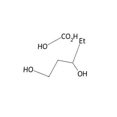 CCC(O)CCO.O=C(O)O